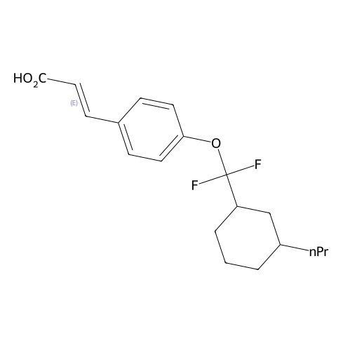 CCCC1CCCC(C(F)(F)Oc2ccc(/C=C/C(=O)O)cc2)C1